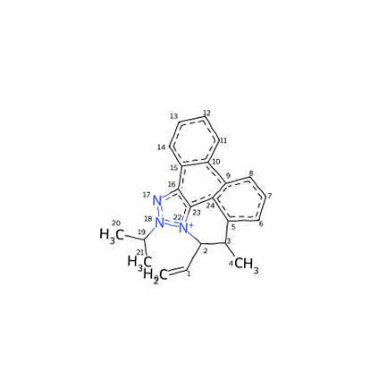 C=CC1C(C)c2cccc3c4ccccc4c4nn(C(C)C)[n+]1c4c23